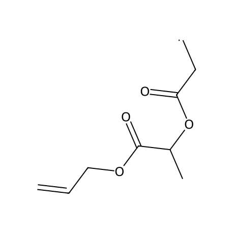 [CH2]CC(=O)OC(C)C(=O)OCC=C